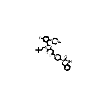 CN1CCN(c2ccc(F)cc2C2SC(CC(=O)N3CCC(N4Cc5ccccc5NC4=O)CC3)C(=O)N2CCC(C)(C)C)CC1